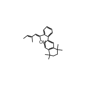 C/C=C(\C)C=C(O)c1ccccc1-c1ccc2c(c1)C(C)(C)CCC2(C)C